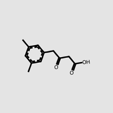 Cc1cc(C)cc(CC(=O)CC(=O)O)c1